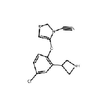 N#CN1CSC=C1Oc1ccc(Cl)cc1C1CNC1